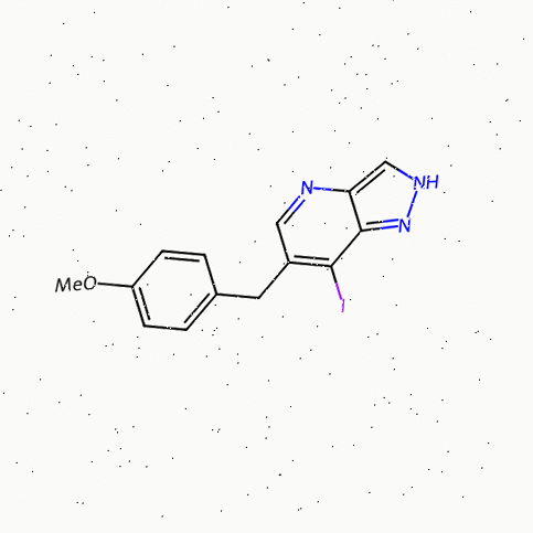 COc1ccc(Cc2cnc3c[nH]nc3c2I)cc1